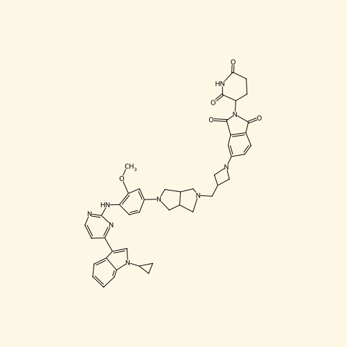 COc1cc(N2CC3CN(CC4CN(c5ccc6c(c5)C(=O)N(C5CCC(=O)NC5=O)C6=O)C4)CC3C2)ccc1Nc1nccc(-c2cn(C3CC3)c3ccccc23)n1